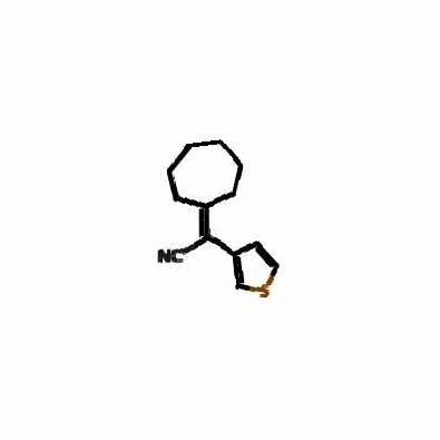 N#CC(=C1CCCCCC1)c1ccsc1